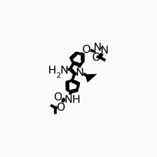 Cc1nnc(Oc2ccc3c(N)c(-c4ccc(NC(=O)OC(C)C)cc4)n(C4CC4)c3c2)o1